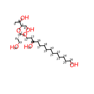 C[C@@H](O)C(CO)O[C@@H](CCO)OCC[C@H](O)CCCCCCCCCCCO